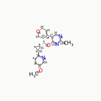 COc1ccc([C@H]2C[C@@H]2COc2nc(C)ncc2C2=CCOCC2)nc1